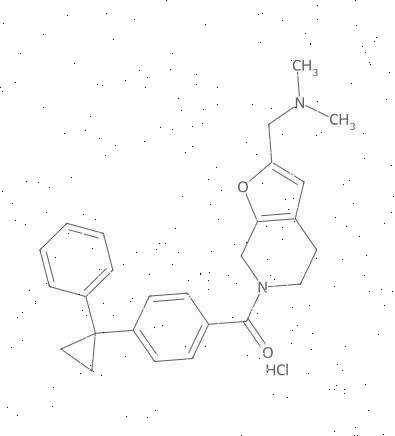 CN(C)Cc1cc2c(o1)CN(C(=O)c1ccc(C3(c4ccccc4)CC3)cc1)CC2.Cl